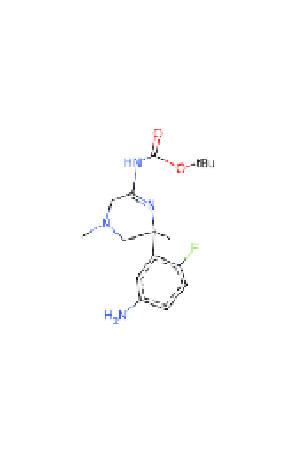 CN1CC(NC(=O)OC(C)(C)C)=NC(C)(c2cc(N)ccc2F)C1